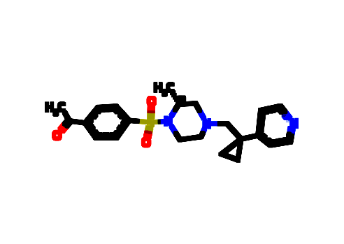 CC(=O)c1ccc(S(=O)(=O)N2CCN(CC3(c4ccncc4)CC3)C[C@H]2C)cc1